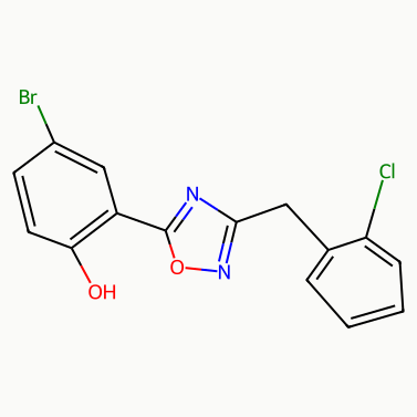 Oc1ccc(Br)cc1-c1nc(Cc2ccccc2Cl)no1